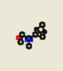 c1ccc(-c2nc(-c3ccc4c(c3)-c3ccccc3C43c4ccccc4-c4ccccc4-c4ccccc43)cc(-c3cccc4oc5ccccc5c34)n2)cc1